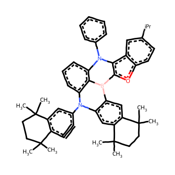 CC(C)c1ccc2oc3c(c2c1)N(c1ccccc1)c1cccc2c1B3c1cc3c(cc1N2c1c#cc2c(c1)C(C)(C)CCC2(C)C)C(C)(C)CCC3(C)C